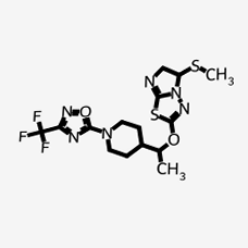 CSC1CN=C2SC(OC(C)C3CCN(c4nc(C(F)(F)F)no4)CC3)=NN21